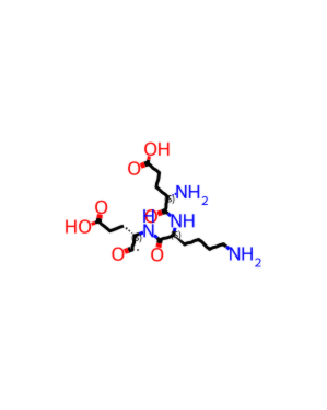 NCCCC[C@H](NC(=O)[C@@H](N)CCC(=O)O)C(=O)N[C@H]([C]=O)CCC(=O)O